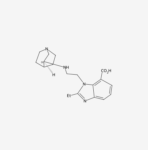 CCc1nc2cccc(C(=O)O)c2n1CCN[C@@H]1CN2CCC1CC2